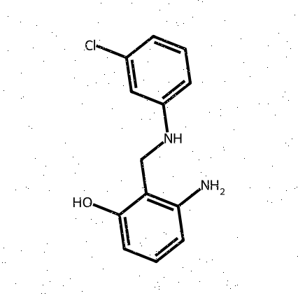 Nc1cccc(O)c1CNc1cccc(Cl)c1